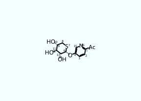 CC(=O)c1ccc(O[C@H]2SC[C@@H](O)[C@H](O)[C@H]2O)cn1